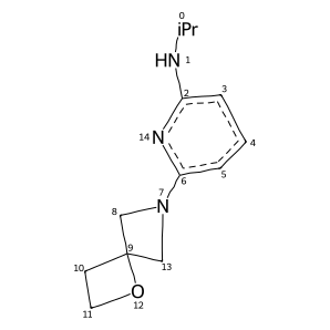 CC(C)Nc1cccc(N2CC3(CCO3)C2)n1